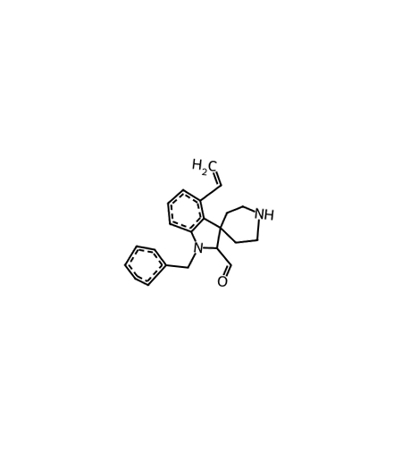 C=Cc1cccc2c1C1(CCNCC1)C(C=O)N2Cc1ccccc1